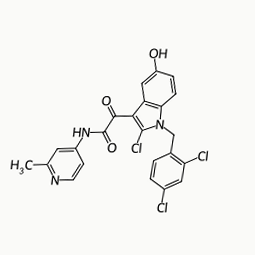 Cc1cc(NC(=O)C(=O)c2c(Cl)n(Cc3ccc(Cl)cc3Cl)c3ccc(O)cc23)ccn1